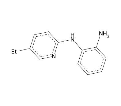 CCc1ccc(Nc2ccccc2N)nc1